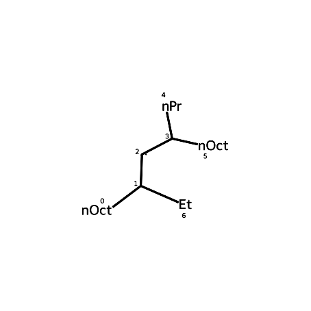 CCCCCCCCC([CH]C(CCC)CCCCCCCC)CC